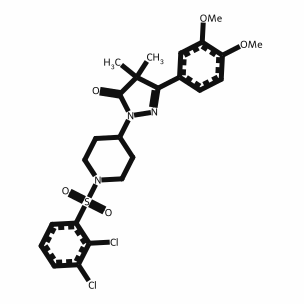 COc1ccc(C2=NN(C3CCN(S(=O)(=O)c4cccc(Cl)c4Cl)CC3)C(=O)C2(C)C)cc1OC